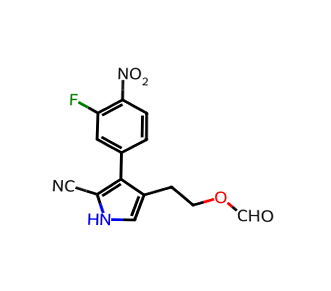 N#Cc1[nH]cc(CCOC=O)c1-c1ccc([N+](=O)[O-])c(F)c1